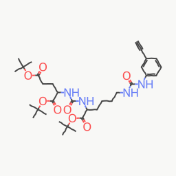 C#Cc1cccc(NC(=O)NCCCCC(NC(=O)NC(CCC(=O)OC(C)(C)C)C(=O)OC(C)(C)C)C(=O)OC(C)(C)C)c1